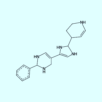 C1=CC(C2NC=C(C3=CNC(c4ccccc4)NC3)N2)CCN1